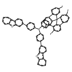 Fc1ccc2c(c1)C1(c3cc(F)ccc3-2)c2cc(F)ccc2-c2ccc(F)c(-c3cccc(N(c4ccc(-c5ccc6c(c5)oc5ccccc56)cc4)c4ccc(-c5ccc6c(c5)oc5ccccc56)cc4)c3)c21